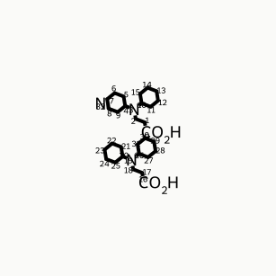 O=C(O)CCN(C1CCCCC1)C1CCCCC1.O=C(O)CCN(C1CCCCC1)C1CCCCC1.[Ni]